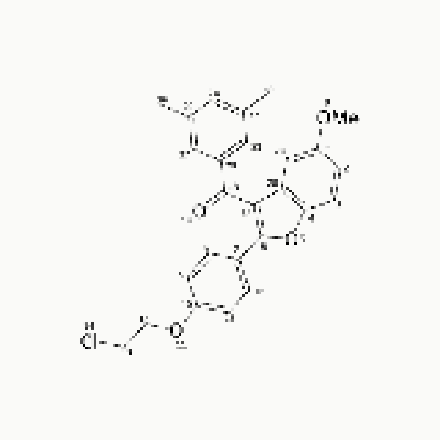 COc1ccc2oc(-c3ccc(OCCCl)cc3)c(C(=O)c3cc(C)cc(C)c3)c2c1